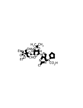 CCOP(=O)(OCC)C(CC=O)(COC)OC[C@H]1O[C@@H](n2ncc3c(N(C(=O)O)C4CCCC4)nc(Cl)nc32)[C@@H]2OC(C)(C)O[C@@H]21